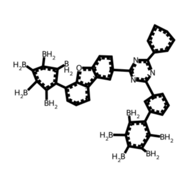 Bc1c(B)c(B)c(-c2cccc(-c3nc(-c4ccccc4)nc(-c4ccc5oc6c(-c7c(B)c(B)c(B)c(B)c7B)cccc6c5c4)n3)c2)c(B)c1B